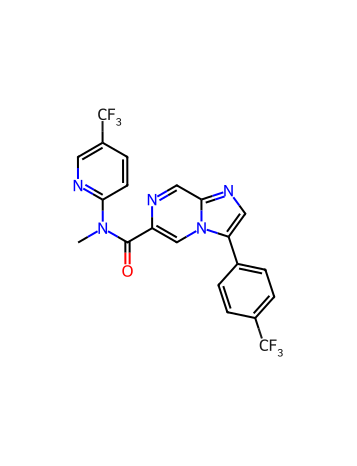 CN(C(=O)c1cn2c(-c3ccc(C(F)(F)F)cc3)cnc2cn1)c1ccc(C(F)(F)F)cn1